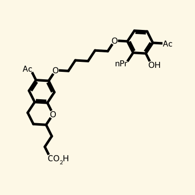 CCCc1c(OCCCCCOc2cc3c(cc2C(C)=O)CCC(CCC(=O)O)O3)ccc(C(C)=O)c1O